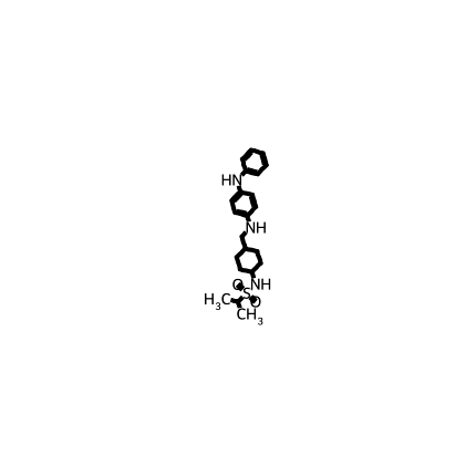 CC(C)S(=O)(=O)NC1CCC(CNc2ccc(Nc3ccccc3)cc2)CC1